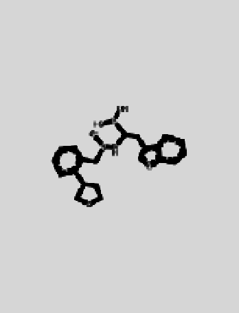 [O-][S+](Cc1ccccc1C1CCOC1)NC(Cc1coc2ccccc12)B(O)O